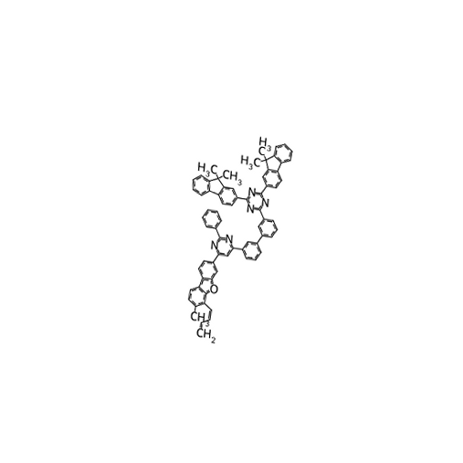 C=C/C=C\c1c(C)ccc2c1oc1cc(-c3cc(-c4cccc(-c5cccc(-c6nc(-c7ccc8c(c7)C(C)(C)c7ccccc7-8)nc(-c7ccc8c(c7)C(C)(C)c7ccccc7-8)n6)c5)c4)nc(-c4ccccc4)n3)ccc12